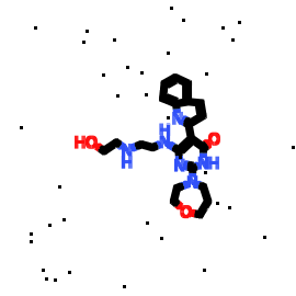 O=c1[nH]c(N2CCCOCC2)nc(NCCNCCO)c1-c1ccc2ccccc2n1